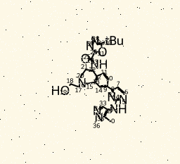 Cc1c(Nc2nccc(-c3ccc4c(c3)CN(CCO)CCC4NC(=O)c3nnc(C(C)(C)C)o3)n2)cnn1C